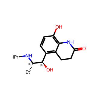 CC[C@H](NC(C)C)[C@H](O)c1ccc(O)c2c1CCC(=O)N2